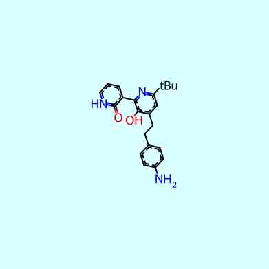 CC(C)(C)c1cc(CCc2ccc(N)cc2)c(O)c(-c2ccc[nH]c2=O)n1